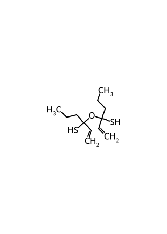 C=CC(S)(CCC)OC(S)(C=C)CCC